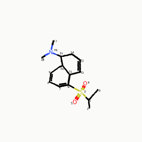 CC(C)S(=O)(=O)C1=CC=CC2C1C=CCC2N(C)C